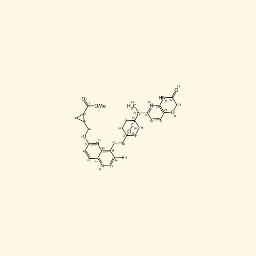 COC(=O)C1CC1COc1ccc2ncc(F)c(CCC34CCC(N(C)c5ccc6c(n5)NC(=O)CO6)(CC3)CO4)c2n1